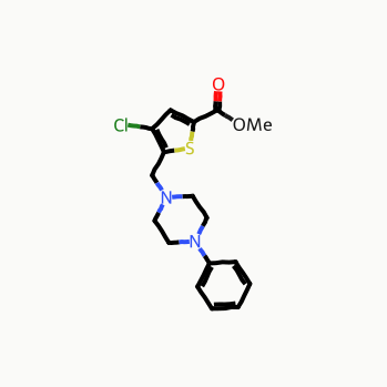 COC(=O)c1cc(Cl)c(CN2CCN(c3ccccc3)CC2)s1